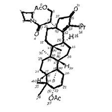 CC(=O)OCC(C(=O)N1CCC1)[C@@]12CC[C@]3(C)[C@H](CC[C@@H]4[C@@]5(C)CC[C@H](OC(C)=O)C(C)(C)[C@@H]5CC[C@]43C)C1=C(C(C)C)C(=O)C2